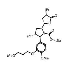 COCCCOc1cc(C2[C@H](C(C)C)C[C@@H]([C@@H]3CC(C(C)C)C(=O)O3)N2C(=O)OC(C)(C)C)ccc1OC